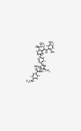 Cc1ccc(C(C)C)c(N/C(CC(C)C(=O)OCS)=N\N=C\c2ccc(-c3nn(C)c(NC(=O)c4ccc(OC(F)(F)F)cc4)c3C#N)cc2)c1